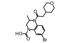 CC1CN(C(=O)O)c2cc(Br)ccc2N1C(=O)CC1CCOCC1